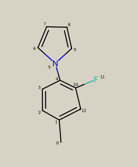 Cc1ccc(-n2cccc2)c(F)c1